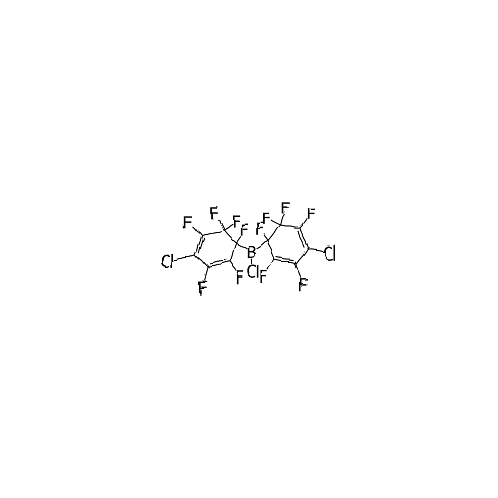 FC1=C(F)C(F)(B(Cl)C2(F)C(F)=C(F)C(Cl)=C(F)C2(F)F)C(F)(F)C(F)=C1Cl